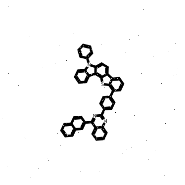 c1ccc(-n2c3ccccc3c3c4sc5c(-c6ccc(-c7nc(-c8ccc9ccccc9c8)c8ccccc8n7)cc6)cccc5c4ccc32)cc1